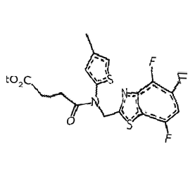 CCOC(=O)CCC(=O)N(Cc1nc2c(F)c(F)cc(F)c2s1)c1cc(C)cs1